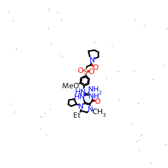 CCC1CN(C)C2=C(N[C@](N)(Nc3ccc(S(=O)(=O)CC(=O)N4CCCCC4)cc3OC)NC2=O)N1C1CCCC1